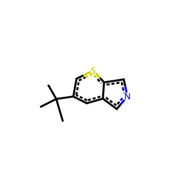 CC(C)(C)c1csc2cncc-2c1